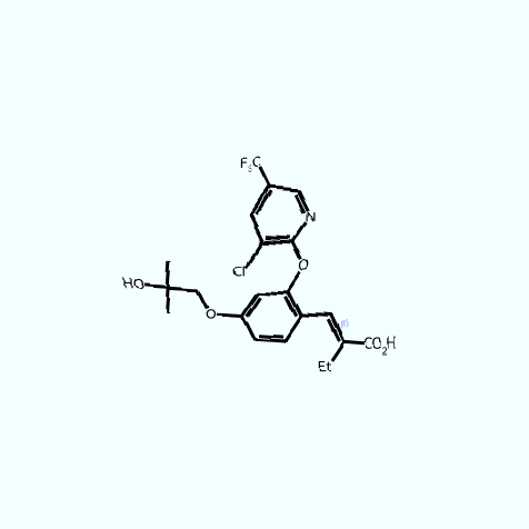 CC/C(=C\c1ccc(OCC(C)(C)O)cc1Oc1ncc(C(F)(F)F)cc1Cl)C(=O)O